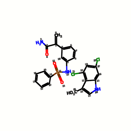 C=C(C(N)=O)c1cccc(NS(=O)(=O)c2ccccc2)c1.O=C(O)c1c[nH]c2cc(Cl)cc(Cl)c12